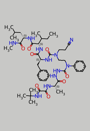 CCC(C)[C@H](NC(=O)[C@H](Cc1ccccc1)NC(=O)N(CCC#N)CCN(C(=O)NNC(=O)[C@H](C)NC(=O)C(=O)NC(C)(C)C)c1ccccc1)C(=O)N[C@@H](CC(C)C)C(=O)NC